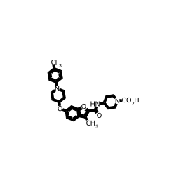 Cc1c(C(=O)NC2CCN(C(=O)O)CC2)oc2cc(OC3CCN(c4ccc(C(F)(F)F)cc4)CC3)ccc12